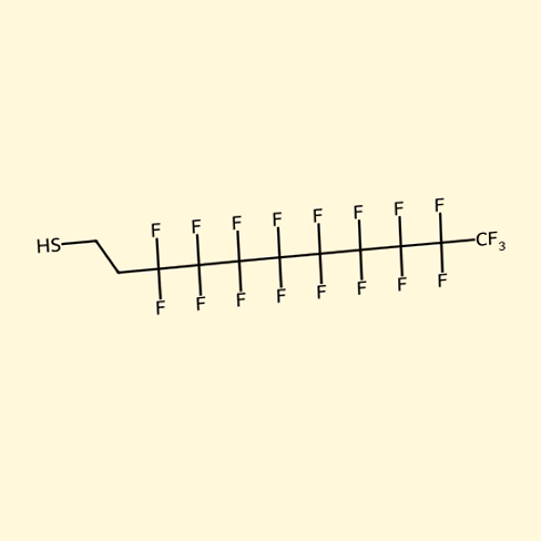 FC(F)(F)C(F)(F)C(F)(F)C(F)(F)C(F)(F)C(F)(F)C(F)(F)C(F)(F)C(F)(F)CCS